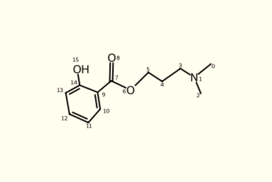 CN(C)CCCOC(=O)c1ccccc1O